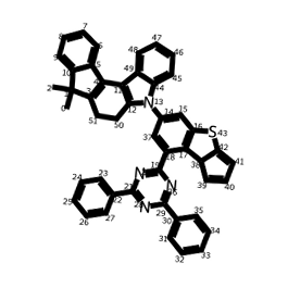 CC1(C)C2=C(c3ccccc31)c1c(n(-c3cc4c(c(-c5nc(-c6ccccc6)nc(-c6ccccc6)n5)c3)C3C=CC=C3S4)c3ccccc13)CC2